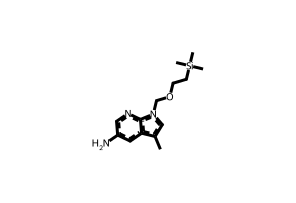 Cc1cn(COCC[Si](C)(C)C)c2ncc(N)cc12